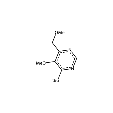 COCc1ncnc(C(C)(C)C)c1OC